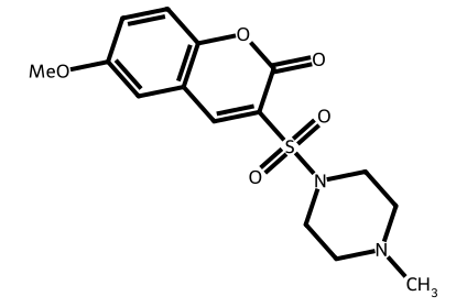 COc1ccc2oc(=O)c(S(=O)(=O)N3CCN(C)CC3)cc2c1